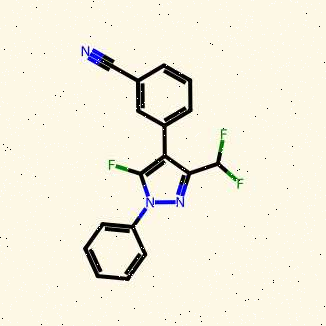 N#Cc1cccc(-c2c(C(F)F)nn(-c3ccccc3)c2F)c1